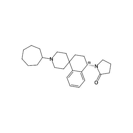 O=C1CCCN1[C@H]1CCC2(CCN(C3CCCCCC3)CC2)c2ccccc21